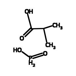 CC(C)C(=O)O.O=[PH2]O